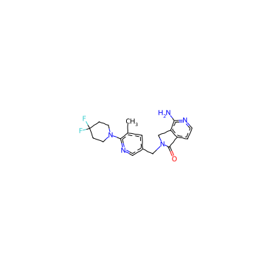 Cc1cc(CN2Cc3c(ccnc3N)C2=O)cnc1N1CCC(F)(F)CC1